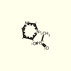 C[SH](=O)=O.c1cncnc1